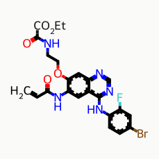 C=CC(=O)Nc1cc2c(Nc3ccc(Br)cc3F)ncnc2cc1OCCNC(=O)C(=O)OCC